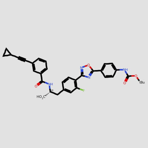 CC(C)(C)OC(=O)Nc1ccc(-c2nc(-c3ccc(C[C@@H](NC(=O)c4cccc(C#CC5CC5)c4)C(=O)O)cc3F)no2)cc1